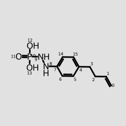 C=CCCc1ccc(NNP(=O)(O)O)cc1